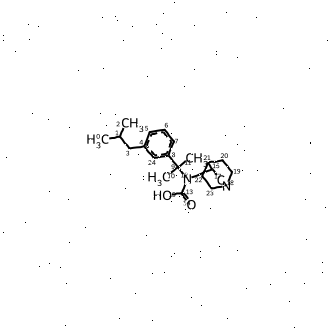 CC(C)Cc1cccc(C(C)(C)N(C(=O)O)C2CN3CCC2CC3)c1